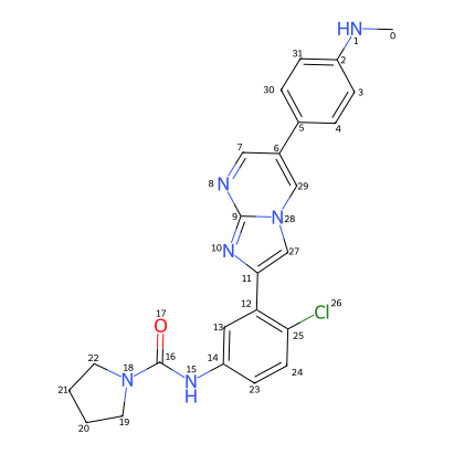 CNc1ccc(-c2cnc3nc(-c4cc(NC(=O)N5CCCC5)ccc4Cl)cn3c2)cc1